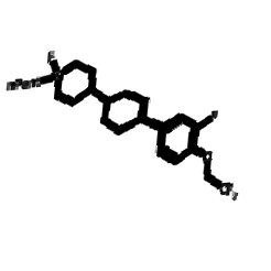 CCCCC[Si]1(F)CCC(C2CCC(c3ccc(OCC(F)(F)F)c(F)c3)CC2)CC1